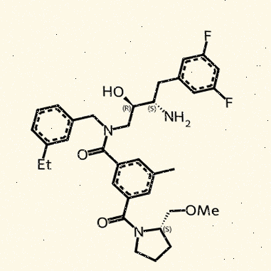 CCc1cccc(CN(C[C@@H](O)[C@@H](N)Cc2cc(F)cc(F)c2)C(=O)c2cc(C)cc(C(=O)N3CCC[C@H]3COC)c2)c1